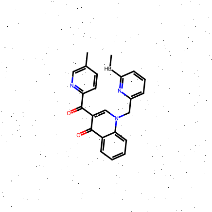 CBc1cccc(Cn2cc(C(=O)c3ccc(C)cn3)c(=O)c3ccccc32)n1